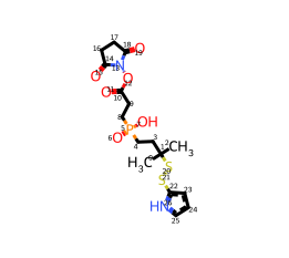 CC(C)(CCP(=O)(O)CCC(=O)ON1C(=O)CCC1=O)SSc1ccc[nH]1